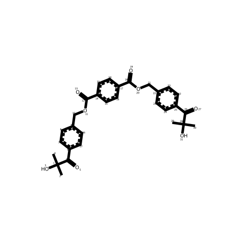 CC(C)(O)C(=O)c1ccc(COC(=O)c2ccc(C(=O)OCc3ccc(C(=O)C(C)(C)O)cc3)cc2)cc1